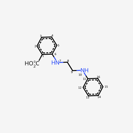 O=C(O)c1ccccc1NCCNc1ccccc1